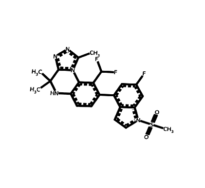 Cc1nnc2n1-c1c(ccc(-c3cc(F)cc4c3ccn4S(C)(=O)=O)c1C(F)F)NC2(C)C